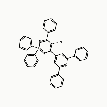 N#CC1=C(c2cc(-c3ccccc3)nc(-c3ccccc3)c2)N=P(c2ccccc2)(c2ccccc2)N=C1c1ccccc1